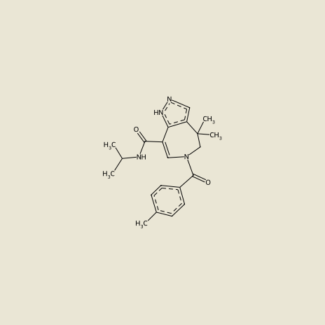 Cc1ccc(C(=O)N2C=C(C(=O)NC(C)C)c3[nH]ncc3C(C)(C)C2)cc1